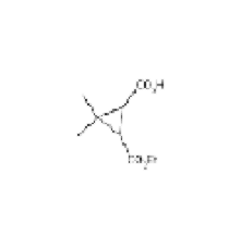 CCOC(=O)C1C(C(=O)O)C1(C)C